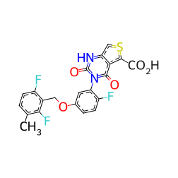 Cc1ccc(F)c(COc2ccc(F)c(-n3c(=O)[nH]c4csc(C(=O)O)c4c3=O)c2)c1F